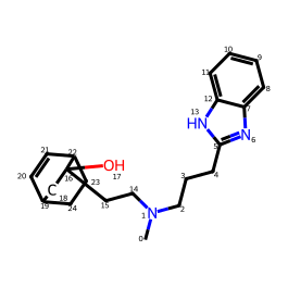 CN(CCCc1nc2ccccc2[nH]1)CCC1(O)CC2C=CC1CC2